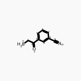 BCC(=O)c1cccc(C#N)c1